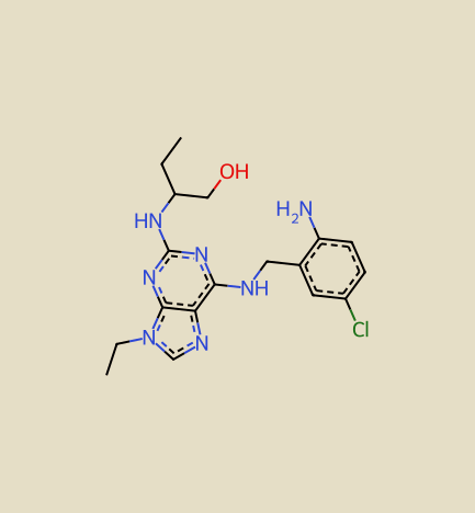 CCC(CO)Nc1nc(NCc2cc(Cl)ccc2N)c2ncn(CC)c2n1